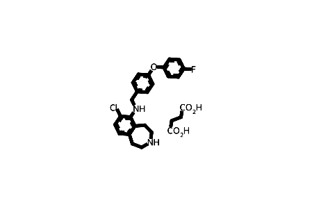 Fc1ccc(Oc2ccc(CNc3c(Cl)ccc4c3CCNCC4)cc2)cc1.O=C(O)CCC(=O)O